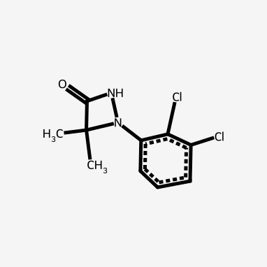 CC1(C)C(=O)NN1c1cccc(Cl)c1Cl